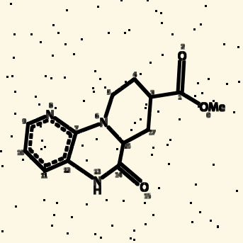 COC(=O)C1CCN2c3ncccc3NC(=O)C2C1